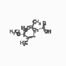 COC(=O)C(C)=CC1[C@@H](C(=O)O)C1(C)C